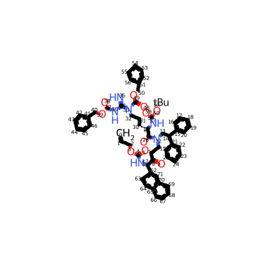 C=CCOC(=O)NC(C(=O)CCN(CC(c1ccccc1)c1ccccc1)C(=O)[C@H](CCCN(C(=N)NC(=O)OCc1ccccc1)C(=O)OCc1ccccc1)NC(=O)OC(C)(C)C)c1ccc2ccccc2c1